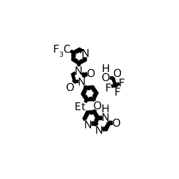 CCc1cc(N2C(=O)CN(c3cncc(C(F)(F)F)c3)C2=O)ccc1Oc1ccnc2ncc(=O)[nH]c12.O=C(O)C(F)(F)F